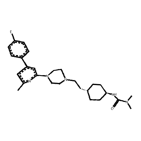 Cc1cc(-c2ccc(F)cc2)cc(N2CCN(CC[C@H]3CC[C@H](NC(=O)N(C)C)CC3)CC2)n1